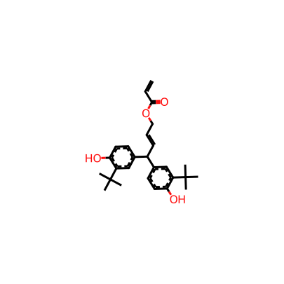 C=CC(=O)OCC=CC(c1ccc(O)c(C(C)(C)C)c1)c1ccc(O)c(C(C)(C)C)c1